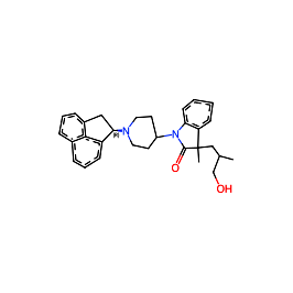 CC(CO)CC1(C)C(=O)N(C2CCN([C@@H]3Cc4cccc5cccc3c45)CC2)c2ccccc21